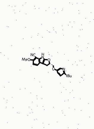 COc1ccc2c3c([nH]c2c1C#N)O[C@H](COc1ccc(C(C)(C)C)nc1)C3